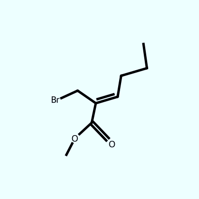 CCC/C=C(\CBr)C(=O)OC